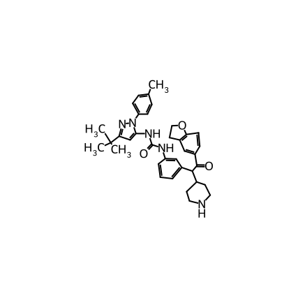 Cc1ccc(-n2nc(C(C)(C)C)cc2NC(=O)Nc2cccc(C(C(=O)c3ccc4c(c3)CCO4)C3CCNCC3)c2)cc1